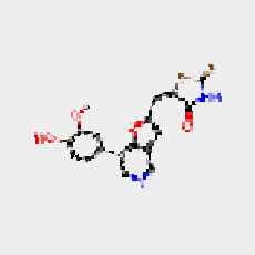 COc1cc(-c2cncc3cc(/C=C4/SC(=S)NC4=O)oc23)ccc1O